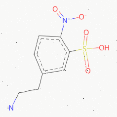 [N]CCc1ccc([N+](=O)[O-])c(S(=O)(=O)O)c1